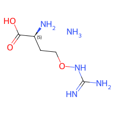 N.N=C(N)NOCC[C@H](N)C(=O)O